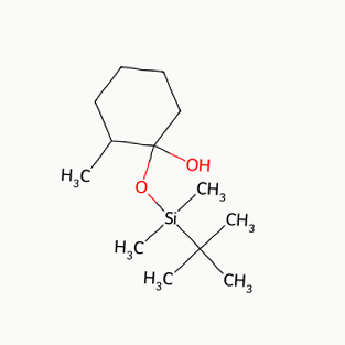 CC1CCCCC1(O)O[Si](C)(C)C(C)(C)C